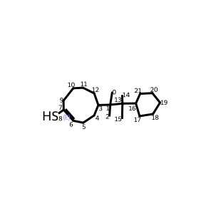 CC(C)(C1CC/C=C(/S)CCCC1)C(C)(C)C1CCCCC1